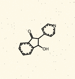 O=C1c2ccccc2C(O)C1c1ccncc1